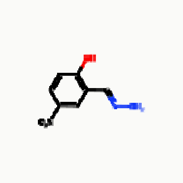 NN=Cc1cc([N+](=O)[O-])ccc1O